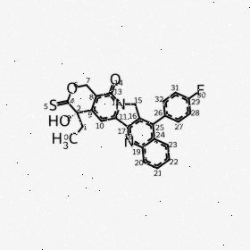 CC[C@@]1(O)C(=S)OCc2c1cc1n(c2=O)Cc2c-1nc1ccccc1c2-c1ccc(F)cc1